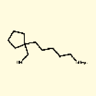 CCCCCCCCCCCCC1(C[NH])CCCC1